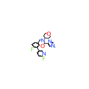 Cn1cnc(C(=O)N(Cc2ccc(F)c(-c3ccc(F)nc3)c2)C2CCOCC2)c1